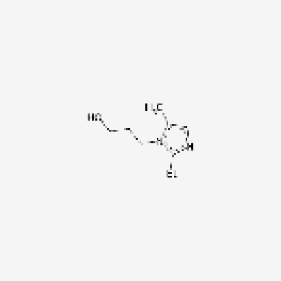 CCc1ncc(C)n1CCCO